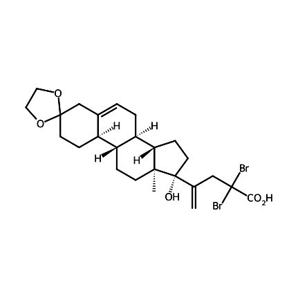 C=C(CC(Br)(Br)C(=O)O)[C@]1(O)CC[C@H]2[C@@H]3CC=C4CC5(CC[C@@H]4[C@H]3CC[C@@]21C)OCCO5